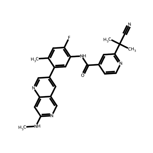 CNc1cc2ncc(-c3cc(NC(=O)c4ccnc(C(C)(C)C#N)c4)c(F)cc3C)cc2cn1